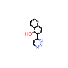 Oc1c(-c2ccnnn2)ccc2ccccc12